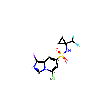 O=S(=O)(NC1(C(F)F)CC1)c1cc(Cl)n2cnc(I)c2c1